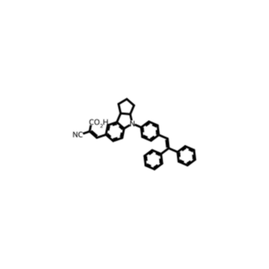 N#CC(=Cc1ccc2c(c1)C1CCCC1N2c1ccc(C=C(c2ccccc2)c2ccccc2)cc1)C(=O)O